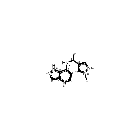 CC(Nc1ccnc2cn[nH]c12)c1cnn(C)c1